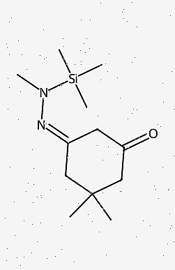 CN(/N=C1\CC(=O)CC(C)(C)C1)[Si](C)(C)C